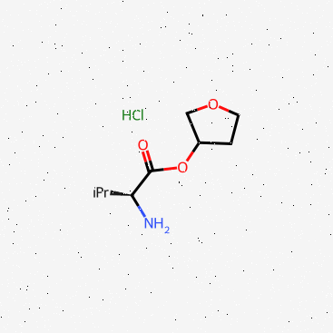 CC(C)[C@H](N)C(=O)OC1CCOC1.Cl